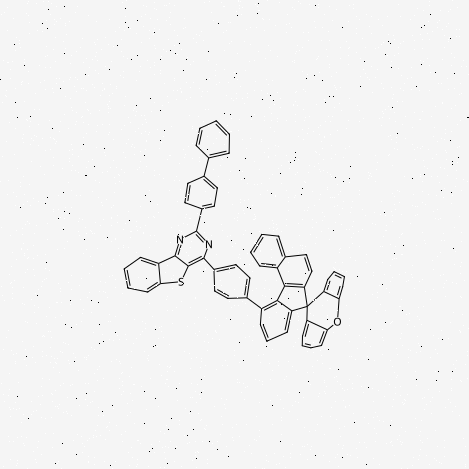 c1ccc(-c2ccc(-c3nc(-c4ccc(-c5cccc6c5-c5c(ccc7ccccc57)C65c6ccccc6Oc6ccccc65)cc4)c4sc5ccccc5c4n3)cc2)cc1